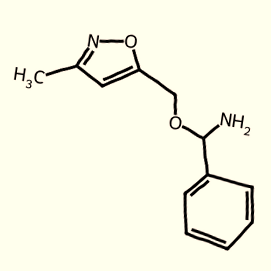 Cc1cc(COC(N)c2ccccc2)on1